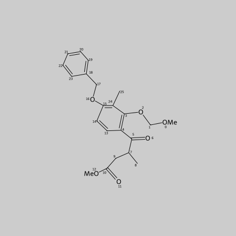 COCOc1c(C(=O)C(C)CC(=O)OC)ccc(OCc2ccccc2)c1C